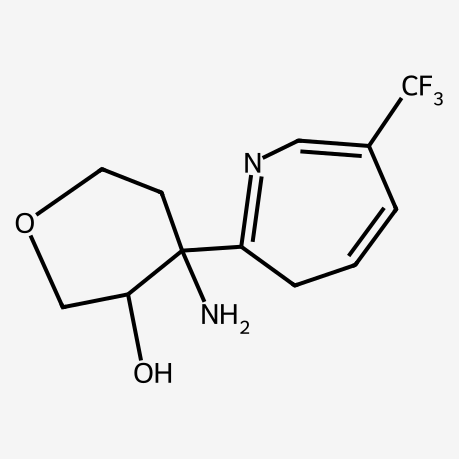 NC1(C2=NC=C(C(F)(F)F)C=CC2)CCOCC1O